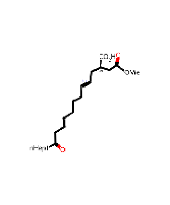 CCCCCCCC(=O)CCCCCC/C=C/C[C@H](CC(=O)OC)C(=O)O